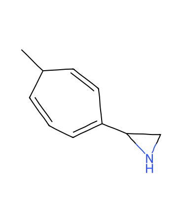 CC1C=CC=C(C2CN2)C=C1